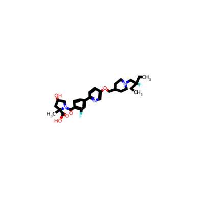 CCC(F)(CC)CN1CCC(COc2ccc(-c3ccc(C(=O)N4CC(O)CC4(C)C(=O)O)c(F)c3)nc2)CC1